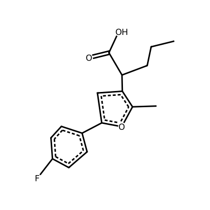 CCCC(C(=O)O)c1cc(-c2ccc(F)cc2)oc1C